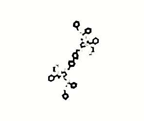 CN[C@@H](C)C(=O)N[C@H](C(=O)N1C[C@@H](NC(=O)c2ccc(-c3ccc(C(=O)N[C@H]4C[C@@H](C(=O)N[C@H](COCc5ccccc5)c5ccccc5)N(C(=O)[C@@H](NC(=O)[C@H](C)NC)C5CCCCC5)C4)cc3)cc2)C[C@H]1C(=O)N[C@H](COCc1ccccc1)c1ccccc1)C1CCCCC1